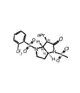 CCC[C@H]1C(=O)N(S(C)(=O)=O)[C@H]2CCN(S(=O)(=O)c3ccccc3C(F)(F)F)[C@H]12